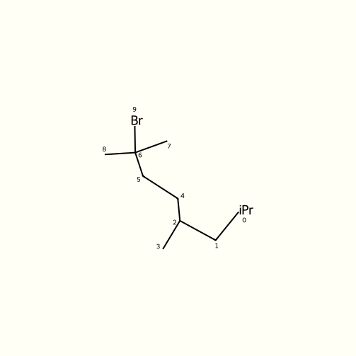 CC(C)CC(C)CCC(C)(C)Br